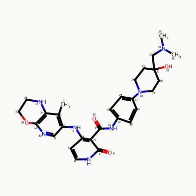 Cc1c(Nc2cc[nH]c(=O)c2C(=O)Nc2ccc(N3CCC(O)(CN(C)C)CC3)cc2)cnc2c1NCCO2